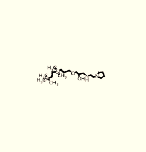 C[Si](C)(C)CC[Si](C)(C)CCCOCC(O)CNCCN1CCCC1